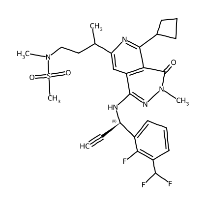 C#C[C@@H](Nc1nn(C)c(=O)c2c(C3CCC3)nc(C(C)CCN(C)S(C)(=O)=O)cc12)c1cccc(C(F)F)c1F